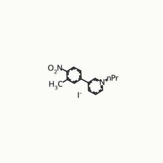 CCC[n+]1cccc(-c2ccc([N+](=O)[O-])c(C)c2)c1.[I-]